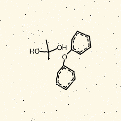 CC(C)(O)O.c1ccc(Oc2ccccc2)cc1